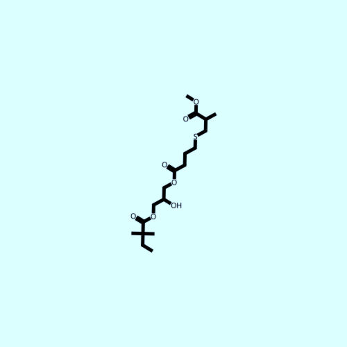 CCC(C)(C)C(=O)OCC(O)COC(=O)CCCSCC(C)C(=O)OC